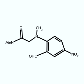 CNC(=O)CN(C)c1ccc([N+](=O)[O-])cc1C=O